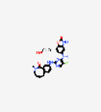 CN1CC=CCc2ccc(Nc3ncc(F)c(Nc4ccc5oc(=O)[nH]c5c4)n3)cc2C1=O.O=CO